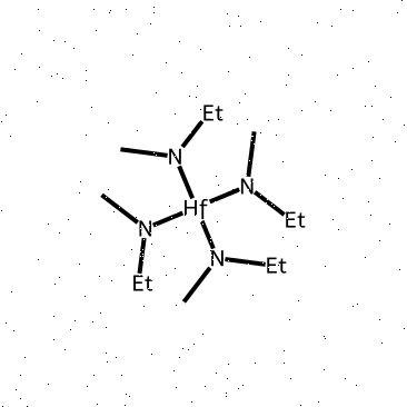 CC[N](C)[Hf]([N](C)CC)([N](C)CC)[N](C)CC